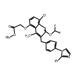 Cc1c(Cc2ccc(-n3ccnc3C(C)C)cc2)c(OC(F)F)nc2c(Cl)ccc(OCC(=O)OC(C)(C)C)c12